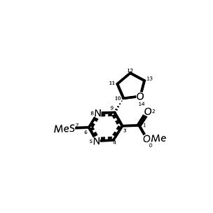 COC(=O)c1cnc(SC)nc1[C@@H]1CCCO1